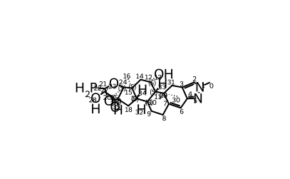 Cn1cc2c(n1)C=C1CC[C@@H]3[C@H]([C@@H](O)C[C@@]4(C)[C@H]3C[C@H]3OC(P)O[C@]34C(=O)CO)[C@@]1(C)C2